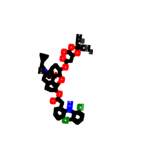 CC1(C)OC(=O)C(CC(=O)OC2CC[C@@]3(O)[C@H]4Cc5ccc(OC(=O)Cc6ccccc6Nc6c(Cl)cccc6Cl)c6c5[C@@]3(CCN4CC3CC3)C2O6)O1